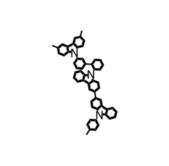 Cc1ccc(-n2c3ccccc3c3cc(-c4ccc5c(c4)c4ccccc4n5-c4ccccc4-c4cccc(-n5c6ccc(C)cc6c6cc(C)ccc65)c4)ccc32)cc1